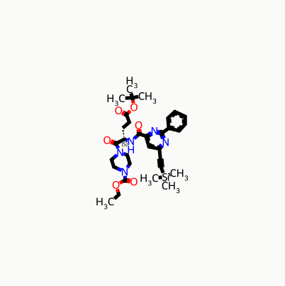 CCOC(=O)N1CCN(C(=O)[C@H](CCC(=O)OC(C)(C)C)NC(=O)c2cc(C#C[Si](C)(C)C)nc(-c3ccccc3)n2)CC1